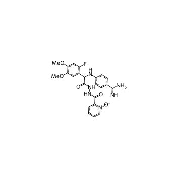 COc1cc(F)c(C(Nc2ccc(C(=N)N)cc2)C(=O)NNC(=O)c2cccc[n+]2[O-])cc1OC